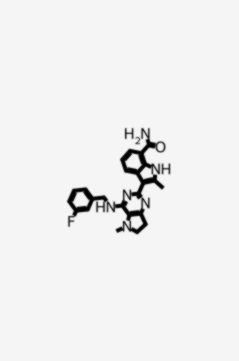 Cc1[nH]c2c(C(N)=O)cccc2c1-c1nc2c(c(NCc3cccc(F)c3)n1)N(C)CC2